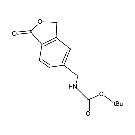 CC(C)(C)OC(=O)NCc1ccc2c(c1)COC2=O